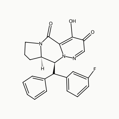 O=C1c2c(O)c(=O)cnn2[C@@H](C(c2ccccc2)c2cccc(F)c2)[C@H]2CCCN12